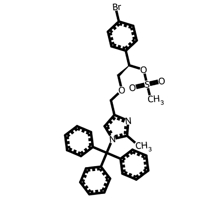 Cc1nc(COC[C@H](OS(C)(=O)=O)c2ccc(Br)cc2)cn1C(c1ccccc1)(c1ccccc1)c1ccccc1